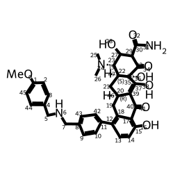 COc1ccc(CNCc2ccc(-c3ccc(O)c4c3C[C@H]3C[C@H]5[C@H](N(C)C)C(O)C(C(N)=O)C(=O)[C@@]5(O)C(O)=C3C4=O)cc2)cc1